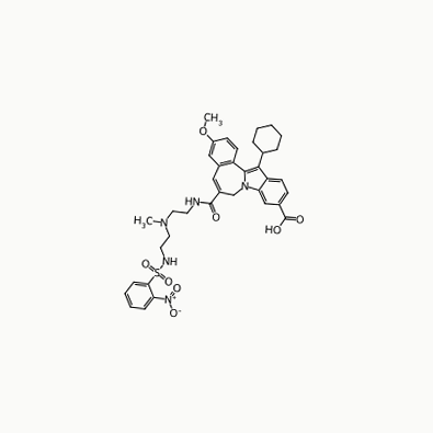 COc1ccc2c(c1)C=C(C(=O)NCCN(C)CCNS(=O)(=O)c1ccccc1[N+](=O)[O-])Cn1c-2c(C2CCCCC2)c2ccc(C(=O)O)cc21